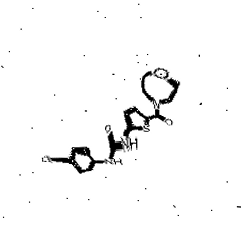 O=C(NC1=CCC(C(=O)N2CCOCC2)S1)Nc1ccc(Cl)cc1